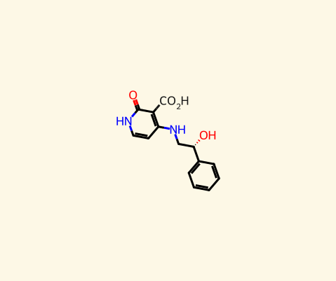 O=C(O)c1c(NC[C@H](O)c2ccccc2)cc[nH]c1=O